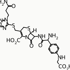 NC(=O)CCn1nnnc1SCC1=C(C(=O)O)N2C(=O)C(NC(=O)C(N)c3ccc(NCC(=O)O)cc3)[C@H]2SC1